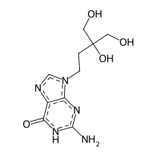 Nc1nc2c(ncn2CCC(O)(CO)CO)c(=O)[nH]1